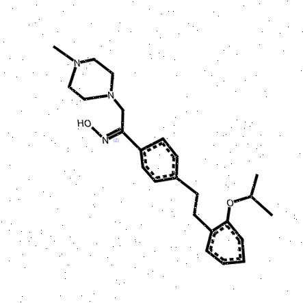 CC(C)Oc1ccccc1CCc1ccc(/C(CN2CCN(C)CC2)=N/O)cc1